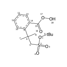 CC(C)(C)OS(=O)(=O)CC(C)(C)c1ccccc1C(=O)OO